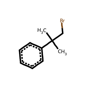 CC(C)(CBr)c1ccccc1